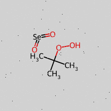 CC(C)(C)OO.O=[Se]=O